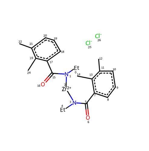 CC[N]([Zr+2][N](CC)C(=O)c1cccc(C)c1C)C(=O)c1cccc(C)c1C.[Cl-].[Cl-]